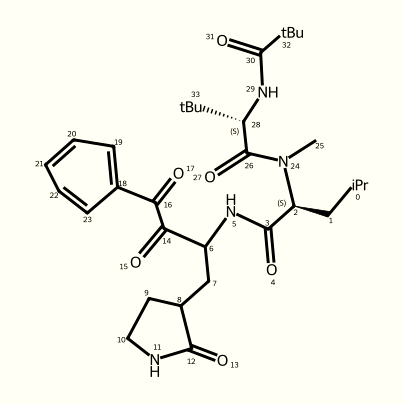 CC(C)C[C@@H](C(=O)NC(CC1CCNC1=O)C(=O)C(=O)c1ccccc1)N(C)C(=O)[C@@H](NC(=O)C(C)(C)C)C(C)(C)C